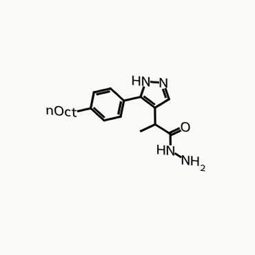 CCCCCCCCc1ccc(-c2[nH]ncc2C(C)C(=O)NN)cc1